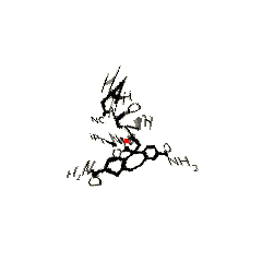 CC(C)c1nnc(C2(C[C@H](C)NCC(=O)N3C(C#N)C[C@@H]4C[C@@H]43)c3ccc(C(N)=O)cc3CCc3cc(C(N)=O)ccc32)o1